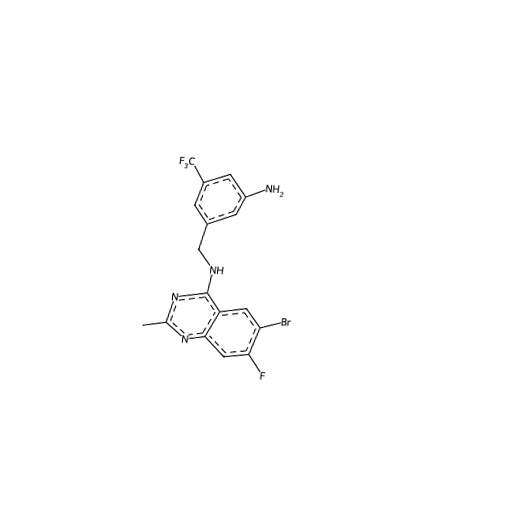 Cc1nc(NCc2cc(N)cc(C(F)(F)F)c2)c2cc(Br)c(F)cc2n1